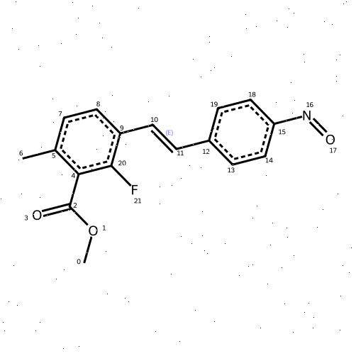 COC(=O)c1c(C)ccc(/C=C/c2ccc(N=O)cc2)c1F